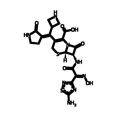 Nc1nc(C(=NO)C(=O)N[C@@H]2C(=O)N3C(C(=O)O)=C(C(=C4CCNC4=O)C4CNC4)CS[C@H]23)ns1